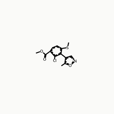 COC(=O)c1ccc(SC)c(-c2cnoc2C)c1Cl